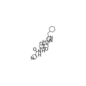 O=C(N[C@H]1CO[C@H]2[C@@H]1OC[C@@H]2n1cc(CC2CCCCC2)nn1)C1=CC=NC1